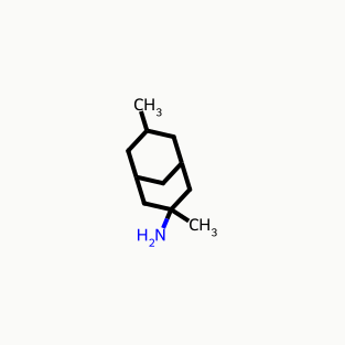 CC1CC2CC(C1)CC(C)(N)C2